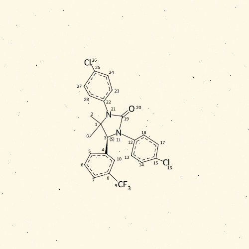 CC1(C)[C@H](c2cccc(C(F)(F)F)c2)N(c2ccc(Cl)cc2)C(=O)N1c1ccc(Cl)cc1